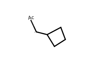 CC(=O)[CH]C1CCC1